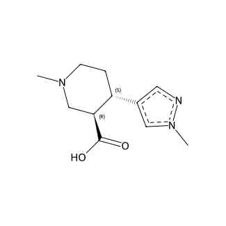 CN1CC[C@H](c2cnn(C)c2)[C@@H](C(=O)O)C1